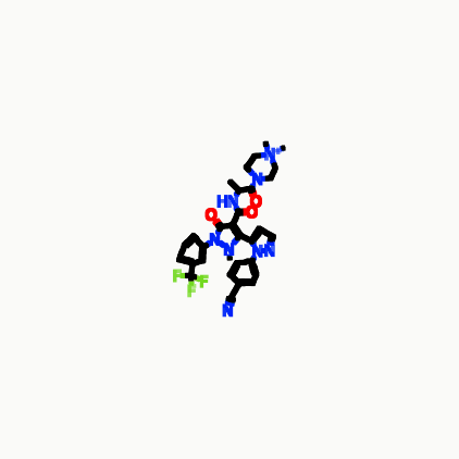 CC(NC(=O)c1c(-c2ccnn2-c2ccc(C#N)cc2)n(C)n(-c2cccc(C(F)(F)F)c2)c1=O)C(=O)N1CC[N+](C)(C)CC1